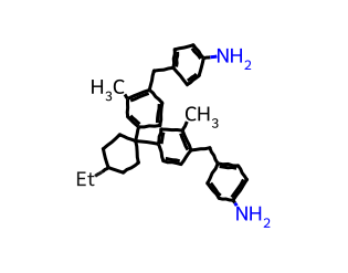 CCC1CCC(c2ccc(Cc3ccc(N)cc3)c(C)c2)(c2ccc(Cc3ccc(N)cc3)c(C)c2)CC1